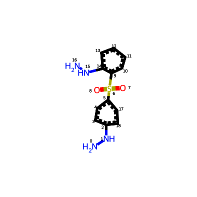 NNc1ccc(S(=O)(=O)c2ccccc2NN)cc1